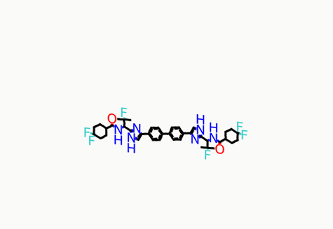 CC(C)(F)C(NC(=O)C1CCC(F)(F)CC1)c1nc(-c2ccc(-c3ccc(-c4c[nH]c(C(NC(=O)C5CCC(F)(F)CC5)C(C)(C)F)n4)cc3)cc2)c[nH]1